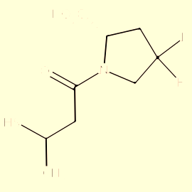 CC(S)CC(=O)N1CC(F)(F)C[C@H]1C(=O)O